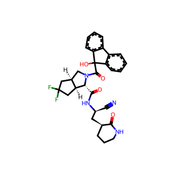 N#C[C@@H](C[C@@H]1CCCNC1=O)NC(=O)[C@@H]1[C@H]2CC(F)(F)C[C@H]2CN1C(=O)C1(O)c2ccccc2-c2ccccc21